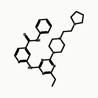 CCc1nc(Nc2cc(C(=O)Nc3ccccc3)ccn2)nc(N2CCN(CCN3CCCC3)CC2)n1